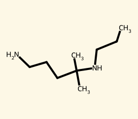 CCCNC(C)(C)CCCN